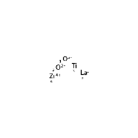 [La].[O-2].[O-2].[Ti].[Zr+4]